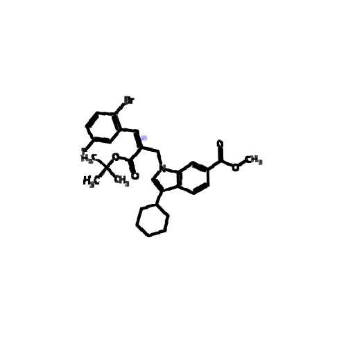 COC(=O)c1ccc2c(C3CCCCC3)cn(C/C(=C/c3cc(F)ccc3Br)C(=O)OC(C)(C)C)c2c1